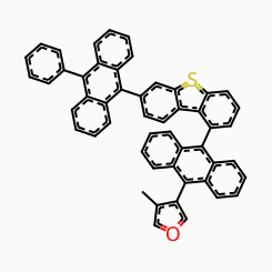 Cc1cocc1-c1c2ccccc2c(-c2cccc3sc4cc(-c5c6ccccc6c(-c6ccccc6)c6ccccc56)ccc4c23)c2ccccc12